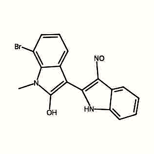 Cn1c(O)c(-c2[nH]c3ccccc3c2N=O)c2cccc(Br)c21